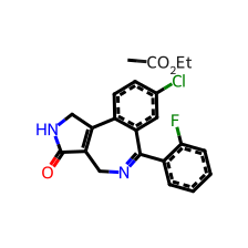 CCOC(C)=O.O=C1NCC2=C1CN=C(c1ccccc1F)c1cc(Cl)ccc12